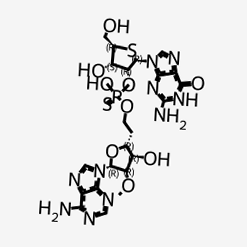 CO[C@@H]1[C@H](O)[C@@H](CCOP(O)(=S)O[C@@H]2[C@H](O)[C@@H](CO)S[C@H]2n2cnc3c(=O)[nH]c(N)nc32)O[C@H]1n1cnc2c(N)ncnc21